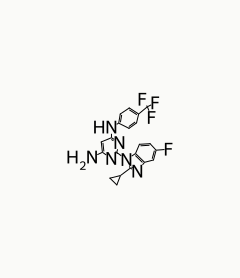 Nc1cc(Nc2ccc(C(F)(F)F)cc2)nc(-n2c(C3CC3)nc3cc(F)ccc32)n1